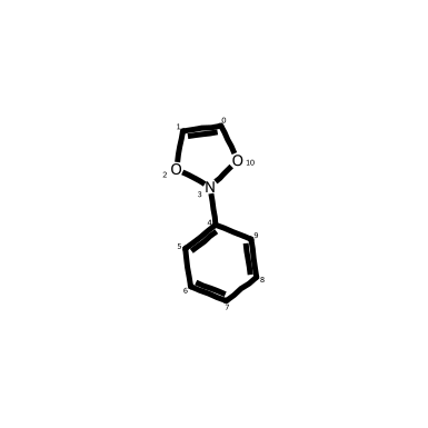 C1=CON(c2ccccc2)O1